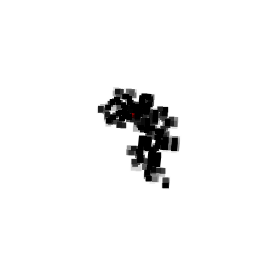 NC(=O)C12CC3CC(C1)C(OC(=O)N1CCC(Nc4nccc(C(F)(F)F)n4)C1)C(C3)C2